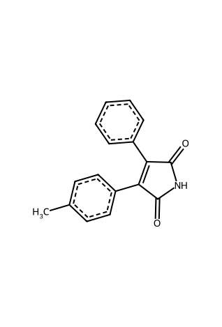 Cc1ccc(C2=C(c3ccccc3)C(=O)NC2=O)cc1